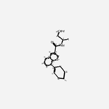 CC(CO)NC(=O)c1cnc2c(C3=CCCCC3)cccc2c1